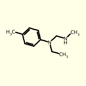 CCN(CNC)c1ccc(C)cc1